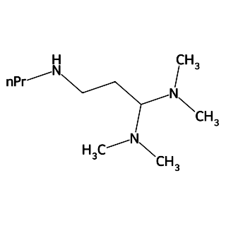 CCCNCCC(N(C)C)N(C)C